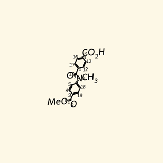 COC(=O)c1ccc(N(C)C(=O)c2ccc(C(=O)O)cc2)cc1